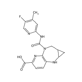 Cc1cc(NC(=O)N2CC3CC3Nc3ccc(C(=O)O)nc32)ncc1F